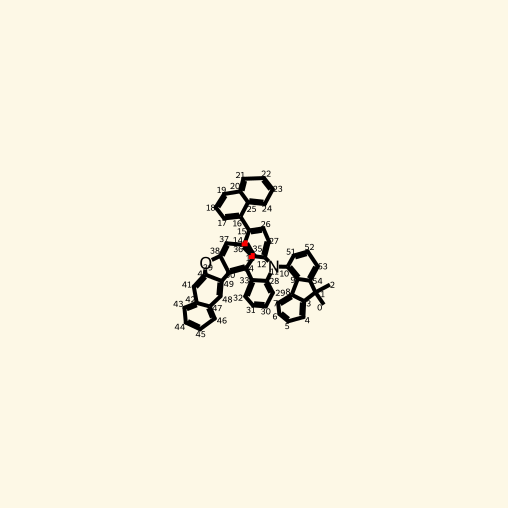 CC1(C)c2ccccc2-c2c(N(c3ccc(-c4cccc5ccccc45)cc3)c3ccccc3-c3cccc4oc5cc6ccccc6cc5c34)cccc21